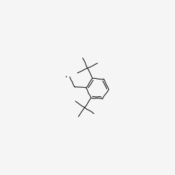 [CH2]Cc1c(C(C)(C)C)cccc1C(C)(C)C